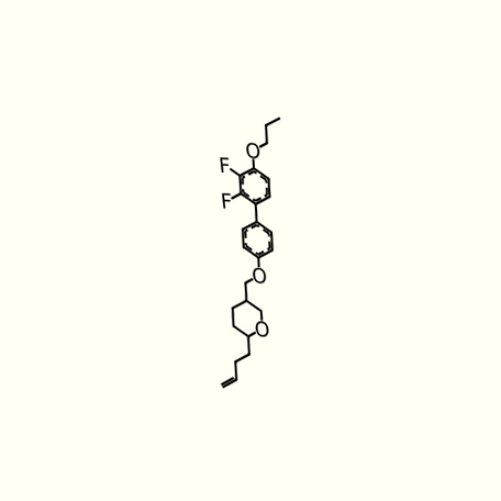 C=CCCC1CCC(COc2ccc(-c3ccc(OCCC)c(F)c3F)cc2)CO1